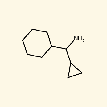 NC(C1CCCCC1)C1CC1